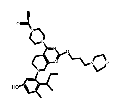 C=CC(=O)N1CCN(c2nc(OCCCN3CCOCC3)nc3c2CCN(c2cc(O)cc(C)c2C(C)CC)C3)CC1